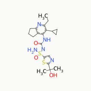 CCc1nc2c(c(NC(=O)N=S(N)(=O)c3cnc(C(C)(C)O)s3)c1C1CC1)CCC2